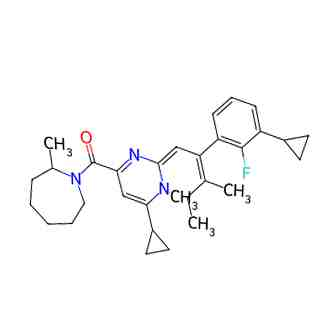 CC/C(C)=C(\C=C1\N=C(C(=O)N2CCCCCC2C)C=C(C2CC2)N1C)c1cccc(C2CC2)c1F